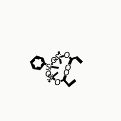 C=CC(=O)O[Si](C)(C)O[Si](C)(O[Si](C)(C)OC(=O)C=C)c1ccccc1